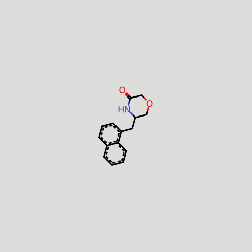 O=C1COCC(Cc2cccc3ccccc23)N1